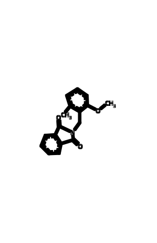 COc1cccc(C)c1CN1C(=O)c2ccccc2C1=O